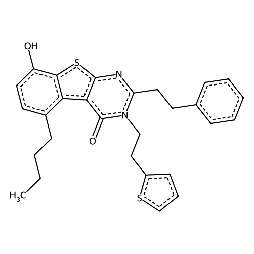 CCCCc1ccc(O)c2sc3nc(CCc4ccccc4)n(CCc4cccs4)c(=O)c3c12